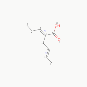 C/C=C/C/C(=C\CC)C(=O)O